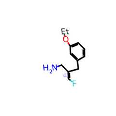 CCOc1cccc(C/C(=C\F)CN)c1